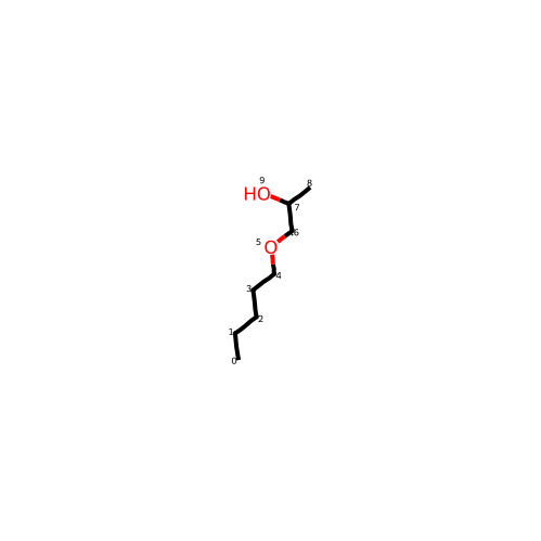 CCCCCO[CH]C(C)O